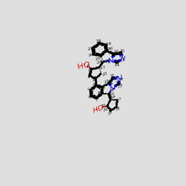 O[C@@H]1CC(c2cccc3c2-c2cncn2[C@H]3[C@H]2CCC[C@H]2O)C[C@H]1[C@@H]1c2ccccc2-c2cncn21